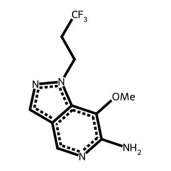 COc1c(N)ncc2cnn(CCC(F)(F)F)c12